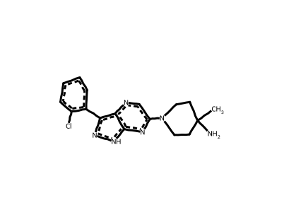 CC1(N)CCN(c2cnc3c(-c4ccccc4Cl)n[nH]c3n2)CC1